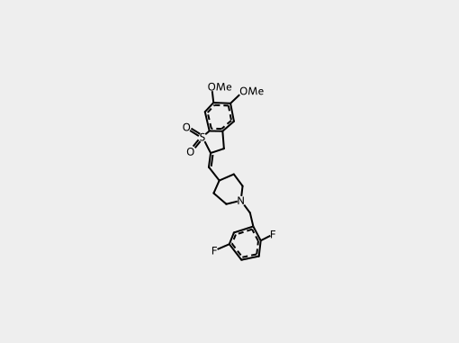 COc1cc2c(cc1OC)S(=O)(=O)/C(=C/C1CCN(Cc3cc(F)ccc3F)CC1)C2